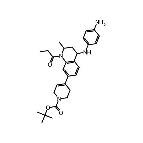 CCC(=O)N1c2cc(C3=CCN(C(=O)OC(C)(C)C)CC3)ccc2C(Nc2ccc(N)cc2)CC1C